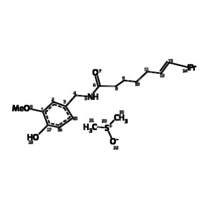 COc1cc(CNC(=O)CCCC/C=C/C(C)C)ccc1O.C[S+](C)[O-]